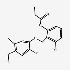 CCC(=O)Oc1cccc(Cl)c1COc1cc(C)c(CC)cc1Br